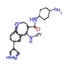 CC(C)Nc1c(C(=O)NC2CCC(N)CC2)cnc2ccc(-c3cn[nH]c3)cc12